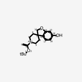 C=C(OC(C)(C)C)N1CCC2(CC1)COc1cc(O)ccc12